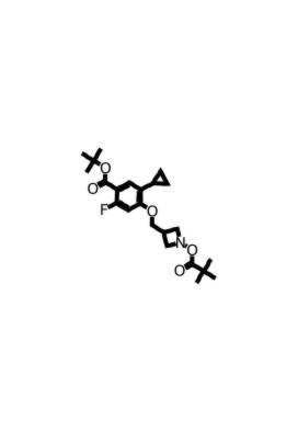 CC(C)(C)OC(=O)c1cc(C2CC2)c(OCC2CN(OC(=O)C(C)(C)C)C2)cc1F